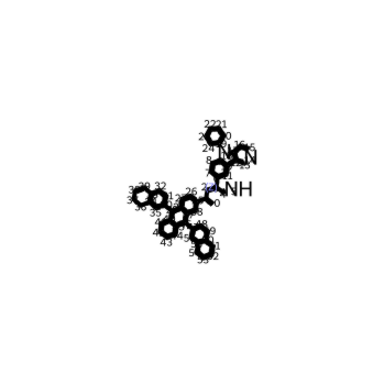 C=C(/C=C(\C=N)c1ccc2c(c1)c1cnccc1n2-c1ccccc1)c1ccc2c(-c3ccc4c(c3)CCC=C4)c3ccccc3c(-c3ccc4ccccc4c3)c2c1